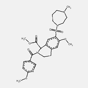 COC(=O)C1c2cc(S(=O)(=O)N3CCCN(C)CC3)c(OC)cc2CCN1C(=O)c1ccc(OC)nc1